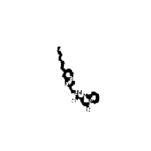 CCCCCCc1ccn2cc(CNC(=O)c3cc(=O)n4ccccc4n3)nc2c1